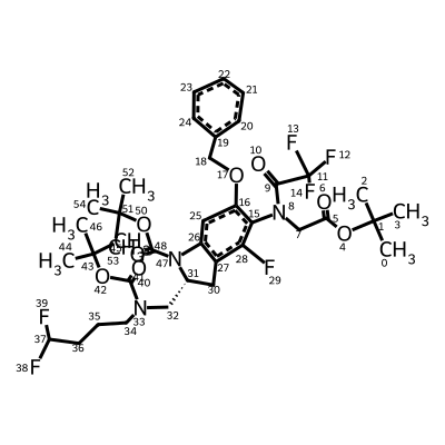 CC(C)(C)OC(=O)CN(C(=O)C(F)(F)F)c1c(OCc2ccccc2)cc2c(c1F)C[C@H](CN(CCCC(F)F)C(=O)OC(C)(C)C)N2C(=O)OC(C)(C)C